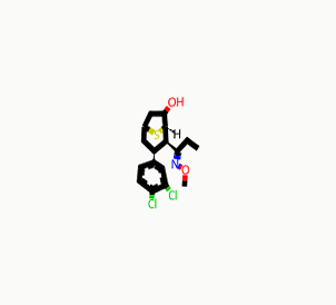 CCC(=NOC)[C@H]1[C@H](c2ccc(Cl)c(Cl)c2)CC2CC(O)[C@@H]1S2